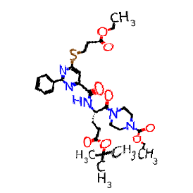 CCOC(=O)CCSc1cc(C(=O)N[C@@H](CCC(=O)OC(C)(C)C)C(=O)N2CCN(C(=O)OCC)CC2)nc(-c2ccccc2)n1